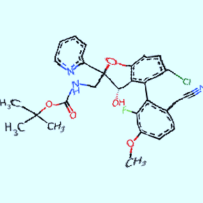 COc1ccc(C#N)c(-c2c(Cl)ccc3c2[C@H](O)C(CNC(=O)OC(C)(C)C)(c2ccccn2)O3)c1F